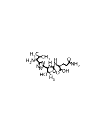 CC(C)[C@H](N)c1noc([C@@H](NC(=O)N[C@@H](CCC(N)=O)C(=O)O)C(C)O)n1